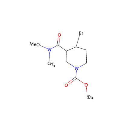 CCC1CCN(C(=O)OC(C)(C)C)CC1C(=O)N(C)OC